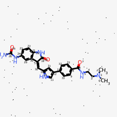 CN(C)CCNC(=O)c1ccc(-c2c[nH]c(/C=C3\C(=O)Nc4ccc(NC(N)=O)cc43)c2)cc1